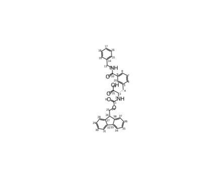 O=C(N[C@@H](Cc1cccc(C(=O)NCc2ccccc2)c1)C(=O)O)OCC1c2ccccc2-c2ccccc21